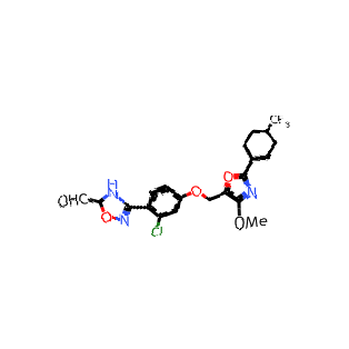 COc1nc(C2CCC(C(F)(F)F)CC2)oc1COc1ccc(C2=NOC(C=O)N2)c(Cl)c1